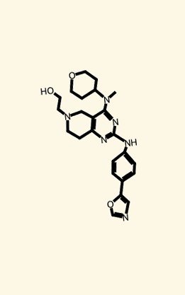 CN(c1nc(Nc2ccc(-c3cnco3)cc2)nc2c1CN(CCO)CC2)C1CCOCC1